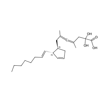 CCCCCCC=C[C@H]1C=CC[C@@H]1CC(C)=C=C(C)CC(O)(O)C(=O)O